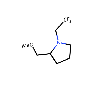 COCC1CCCN1CC(F)(F)F